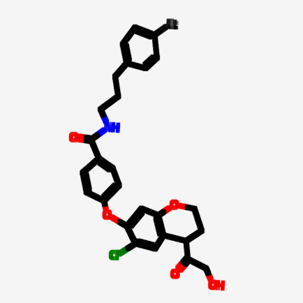 CCc1ccc(CCCNC(=O)c2ccc(Oc3cc4c(cc3Cl)C(C(=O)CO)CCO4)cc2)cc1